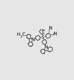 Cc1ccc2c(c1)c1ccccc1n2-c1ccc(S(c2ccccc2)(c2ccc(-n3c4ccccc4c4ccccc43)cc2)c2ccc(C#N)c(C#N)c2)cc1